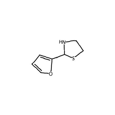 c1coc(C2NCCS2)c1